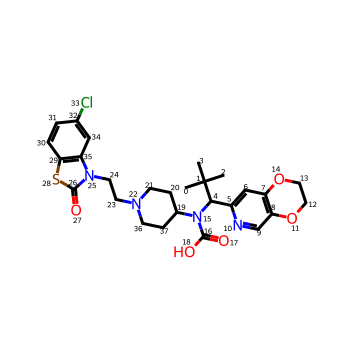 CC(C)(C)C(c1cc2c(cn1)OCCO2)N(C(=O)O)C1CCN(CCn2c(=O)sc3ccc(Cl)cc32)CC1